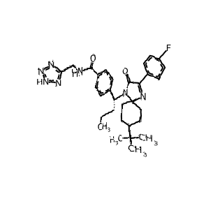 CCC[C@H](c1ccc(C(=O)NCc2nn[nH]n2)cc1)N1C(=O)C(c2ccc(F)cc2)=NC12CCC(C(C)(C)C)CC2